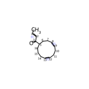 C/C=C/C(=O)C1CC/C=C\CC/C=C\CCC1